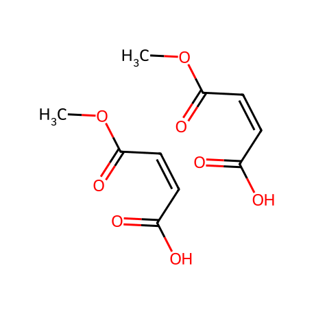 COC(=O)/C=C\C(=O)O.COC(=O)/C=C\C(=O)O